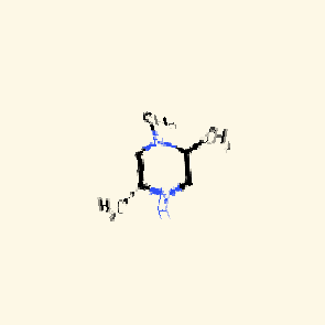 CC1CN[C@H](C)CN1C